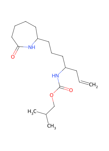 C=CCC(CCCC1CCCCC(=O)N1)NC(=O)OCC(C)C